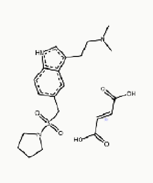 CN(C)CCc1c[nH]c2ccc(CS(=O)(=O)N3CCCC3)cc12.O=C(O)/C=C/C(=O)O